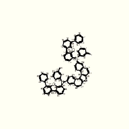 Cc1cccc(N(c2ccc3c(ccc4sc5ccc6cc(N(c7cccc(C)c7)c7cccc8c7oc7c(-c9ccccc9)cccc78)ccc6c5c43)c2)c2cccc3c2oc2c(-c4ccccc4)cccc23)c1